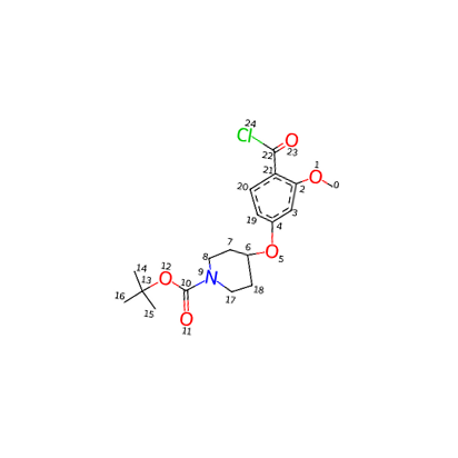 COc1cc(OC2CCN(C(=O)OC(C)(C)C)CC2)ccc1C(=O)Cl